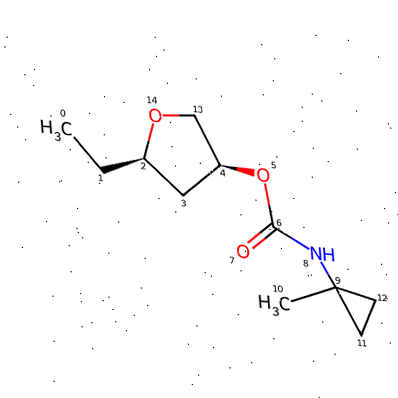 CC[C@@H]1C[C@H](OC(=O)NC2(C)CC2)CO1